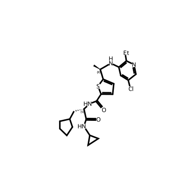 CCc1ncc(Cl)cc1N[C@H](C)c1ccc(C(=O)N[C@@H](CC2CCCC2)C(=O)NC2CC2)s1